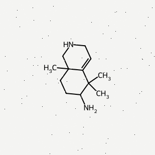 CC12CCC(N)C(C)(C)C1=CCNC2